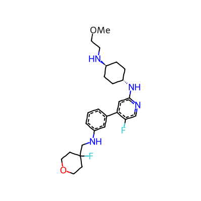 COCCN[C@H]1CC[C@H](Nc2cc(-c3cccc(NCC4(F)CCOCC4)c3)c(F)cn2)CC1